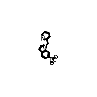 O=[N+]([O-])c1ccc2ccn(Cc3ccccn3)c2c1